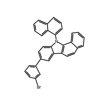 Brc1cccc(-c2ccc3c(c2)c2ccc4ccccc4c2n3-c2cccc3ccccc23)c1